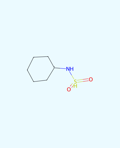 O=[SH](=O)N[C]1CCCCC1